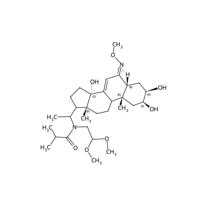 CO/N=C1\C=C2C(CC[C@]3(C)C(C(C)N(CC(OC)OC)C(=O)C(C)C)CC[C@@]23O)[C@@]2(C)C[C@H](O)[C@H](O)C[C@@H]12